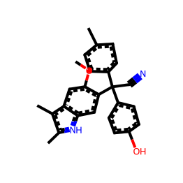 COc1cc2c(C)c(C)[nH]c2cc1C(C#N)(c1ccc(C)cc1)c1ccc(O)cc1